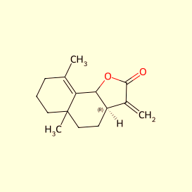 C=C1C(=O)OC2C3=C(C)CCCC3(C)CC[C@H]12